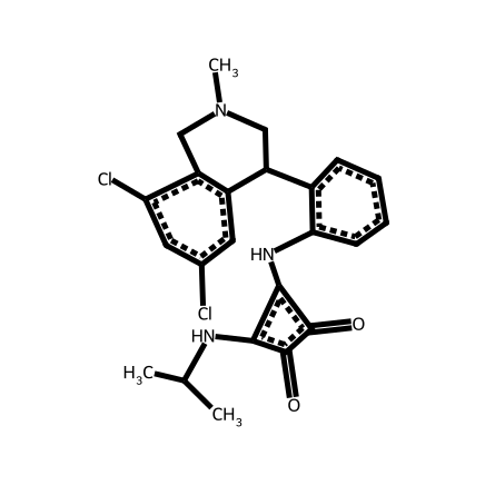 CC(C)Nc1c(Nc2ccccc2C2CN(C)Cc3c(Cl)cc(Cl)cc32)c(=O)c1=O